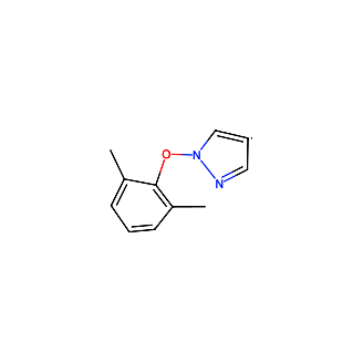 Cc1cccc(C)c1On1c[c]cn1